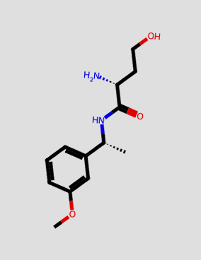 COc1cccc([C@@H](C)NC(=O)[C@H](N)CCO)c1